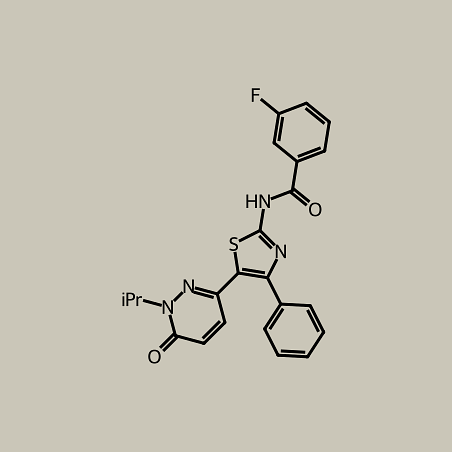 CC(C)n1nc(-c2sc(NC(=O)c3cccc(F)c3)nc2-c2ccccc2)ccc1=O